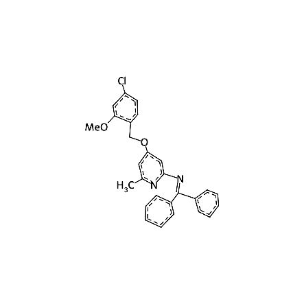 COc1cc(Cl)ccc1COc1cc(C)nc(N=C(c2ccccc2)c2ccccc2)c1